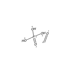 C=O.O=P(O)(O)O